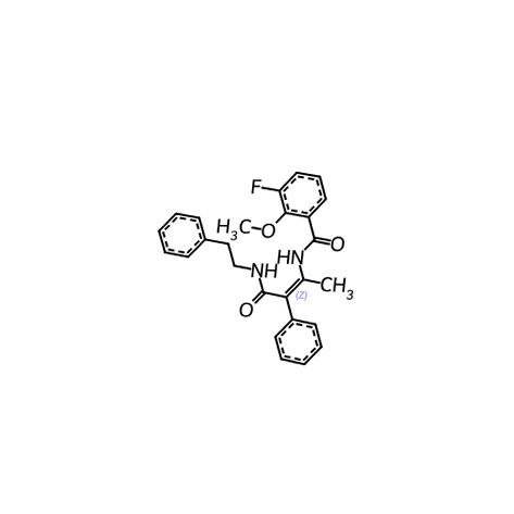 COc1c(F)cccc1C(=O)N/C(C)=C(\C(=O)NCCc1ccccc1)c1ccccc1